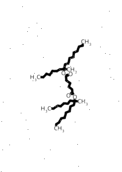 CCCCCCCCCC(C)(CCCCCCC)OC(=O)CCCCC(=O)OC(C)(CCCCCCC)CCCCCCCCC